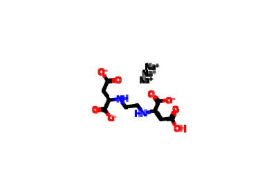 O=C([O-])CC(NCCNC(CC(=O)O)C(=O)[O-])C(=O)[O-].[Na+].[Na+].[Na+]